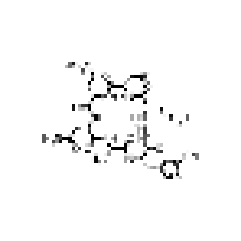 CC(C)C[C@H](NC(=O)[C@@H](N)CC(=O)O)C(=O)N[C@@H](CCC(=O)O)C(=O)N[C@@H](CC(N)=O)C(=O)N[C@@H](C)C(=O)N[C@@H](Cc1csc(C#N)c1)C(N)=O